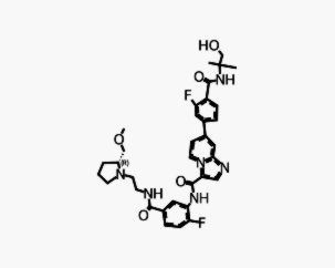 COC[C@H]1CCCN1CCNC(=O)c1ccc(F)c(NC(=O)c2cnc3cc(-c4ccc(C(=O)NC(C)(C)CO)c(F)c4)ccn23)c1